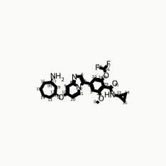 COc1cc(-c2cnc3cc(O[C@H]4CCCC[C@@H](N)C4)ccn23)cc(OC(F)F)c1C(=O)NC1CC1